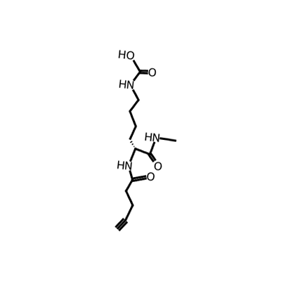 C#CCCC(=O)N[C@H](CCCCNC(=O)O)C(=O)NC